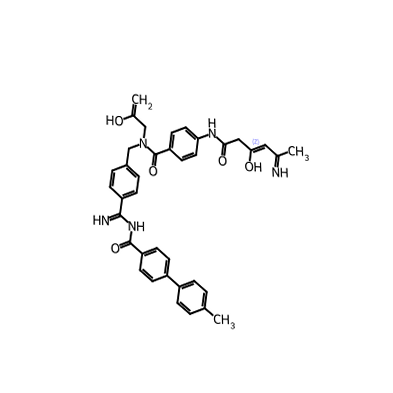 C=C(O)CN(Cc1ccc(C(=N)NC(=O)c2ccc(-c3ccc(C)cc3)cc2)cc1)C(=O)c1ccc(NC(=O)C/C(O)=C/C(C)=N)cc1